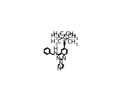 CC(C)[Si](C#Cc1ccc2nc(-n3ccnc3)nc(NCc3ccccc3)c2c1)(C(C)C)C(C)C